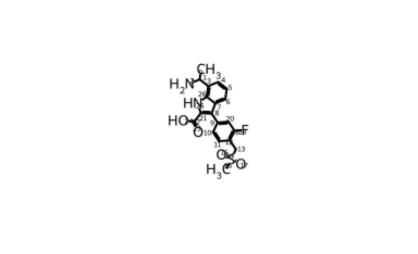 CC(N)c1cccc2c(-c3ccc(CS(C)(=O)=O)c(F)c3)c(C(=O)O)[nH]c12